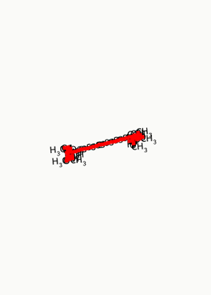 COc1ccc([C@@]23Oc4cc(OC)cc(OC)c4[C@]2(O)[C@H](O)[C@H](C(=O)NCCSCCSCCSCCSCCSCCSCCSCCSCCSCCSCCSCCNC(=O)[C@H]2[C@@H](O)[C@@]4(O)c5c(OC)cc(OC)cc5O[C@@]4(c4ccc(OC)cc4)[C@@H]2c2ccccc2)[C@H]3c2ccccc2)cc1